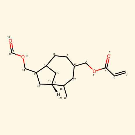 C=CC(=O)OCC1CCC2C[C@@H](CC2COC=O)C(C)C1